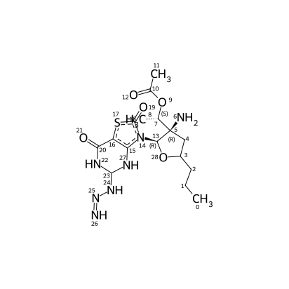 CCCC1C[C@@](N)([C@H](C)OC(C)=O)[C@H](n2c3c(sc2=O)C(=O)NC(NN=N)N3)O1